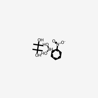 CC(C)(O)C(C)(C)O.O=[N+]([O-])c1ccccc1.OBO